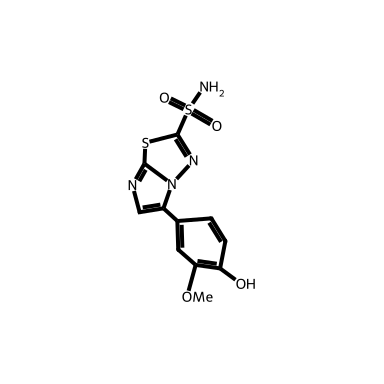 COc1cc(-c2cnc3sc(S(N)(=O)=O)nn23)ccc1O